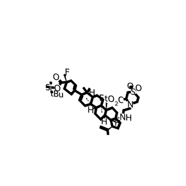 C=C(C)[C@@H]1CC[C@]2(NCCN3CCS(=O)(=O)CC3C(=O)OCC)CC[C@]3(C)[C@H](CC[C@@H]4[C@@]5(C)CC=C(C6=CC[C@@](CF)(C(=O)O[Si](C)(C)C(C)(C)C)CC6)C(C)(C)[C@@H]5CC[C@]43C)[C@@H]12